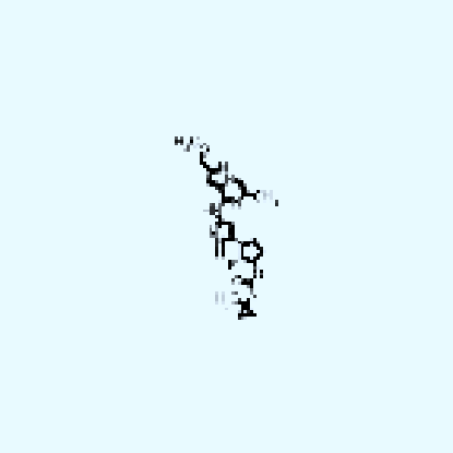 COCc1cc2c(Nc3cc([C@H]4CC[C@@H](OC(=O)NC5(C)CC5)[C@@H]4F)[nH]n3)nc(C)cn2n1